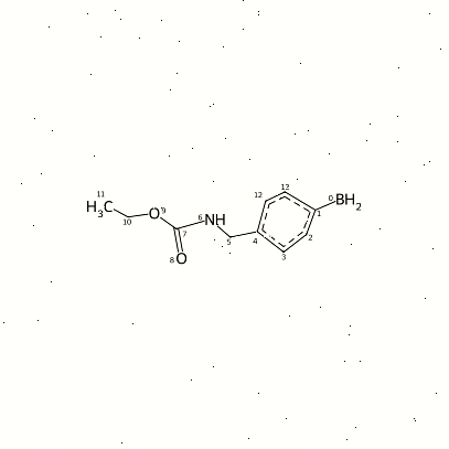 Bc1ccc(CNC(=O)OCC)cc1